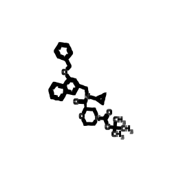 CC(C)(C)OC(=O)N1CCO[C@@H](C(=O)N(Cc2cc(OCc3ccccc3)c3ccccc3c2)C2CC2)C1